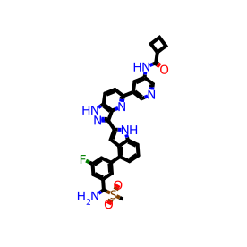 CS(=O)(=O)C(N)c1cc(F)cc(-c2cccc3[nH]c(-c4n[nH]c5ccc(-c6cncc(NC(=O)C7CCC7)c6)nc45)cc23)c1